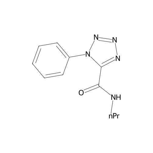 CCCNC(=O)c1nnnn1-c1ccccc1